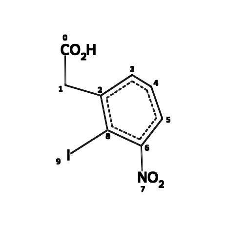 O=C(O)Cc1cccc([N+](=O)[O-])c1I